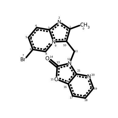 Cc1nc2ccc(Br)cn2c1Cn1c(=O)oc2cccnc21